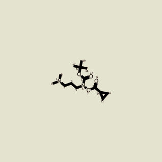 CN(C)CCCN(OC(=O)C1CC1)C(=O)OC(C)(C)C